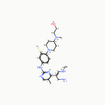 Cc1cnc(Nc2ccc(N3CCC(N(C)CCO)CC3)c(F)c2)nc1/C(=C/NC(C)C)CN